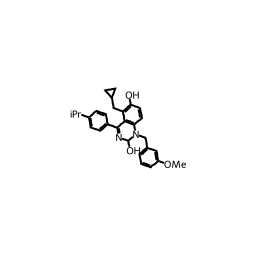 COc1cccc(CN2c3ccc(O)c(CC4CC4)c3C(c3ccc(C(C)C)cc3)=NC2O)c1